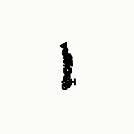 CC(=O)N[C@@H](C)COC1CCN(c2nc3ccc(OCC4CC4)cc3s2)CC1